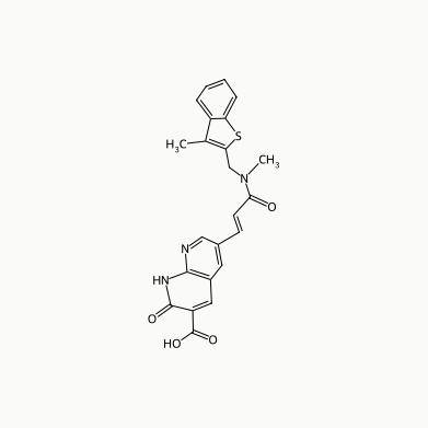 Cc1c(CN(C)C(=O)/C=C/c2cnc3[nH]c(=O)c(C(=O)O)cc3c2)sc2ccccc12